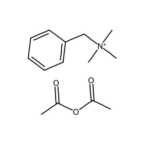 CC(=O)OC(C)=O.C[N+](C)(C)Cc1ccccc1